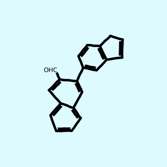 O=Cc1cc2ccccc2cc1-c1ccc2c(c1)C=CC2